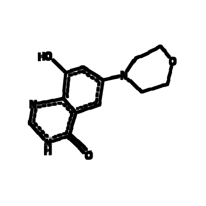 O=c1[nH]cnc2c(O)cc(N3CCOCC3)cc12